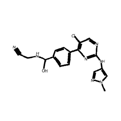 Cn1cc(Nc2ncc(Cl)c(-c3ccc(C(O)NCC#N)cc3)n2)cn1